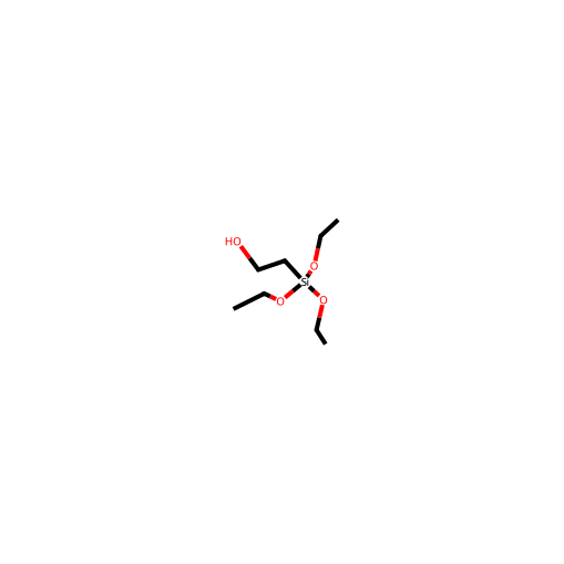 CCO[Si](CCO)(OCC)OCC